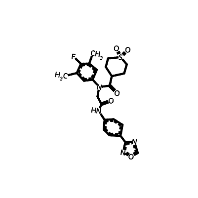 Cc1cc(N(CC(=O)Nc2ccc(-c3ncon3)cc2)C(=O)C2CCS(=O)(=O)CC2)cc(C)c1F